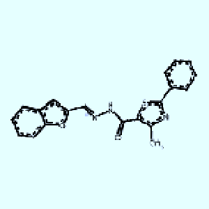 Cc1nc(-c2ccccc2)sc1C(=O)N/N=C/c1cc2ccccc2o1